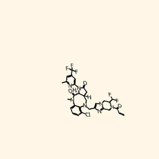 C=CC(=O)N1Cc2nc(CN3C[C@H]4CC(=O)N(c5cc(C(F)(F)F)cc(C)n5)[C@@H]4C(=O)N(C)c4cccc(Cl)c43)cn2CC1C(F)F